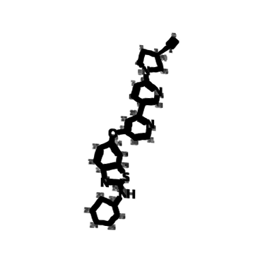 C#C[C@@H]1CCN(c2ccc(-c3cc(Oc4ccc5nc(NC6CCCCC6)sc5c4)ccn3)cn2)C1